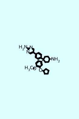 COc1ccc([C@]2(c3ccc(-c4cnc(N)nc4)cc3)CC[C@H](N)CC2)cc1OC1CCCC1